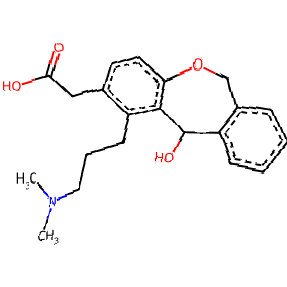 CN(C)CCCc1c(CC(=O)O)ccc2c1C(O)c1ccccc1CO2